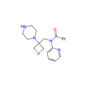 CCC(=O)N(CC1(N2CCNCC2)COC1)c1ccccn1